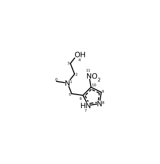 CN(CCO)Cc1[nH]ncc1[N+](=O)[O-]